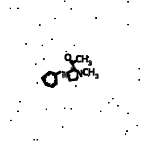 CC(=O)[C@@H]1[C@@H](Cc2ccccc2)CCN1C